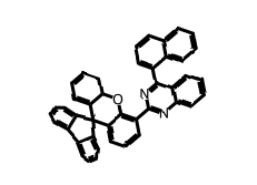 C1=CCC2Oc3c(-c4nc(-c5cccc6ccccc56)c5ccccc5n4)cccc3C3(C2=C1)c1ccccc1-c1ccccc13